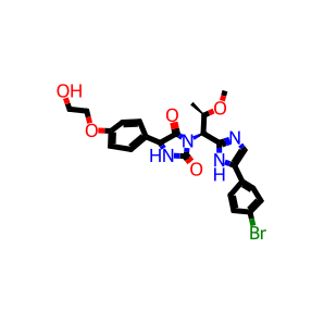 CO[C@H](C)[C@@H](c1ncc(-c2ccc(Br)cc2)[nH]1)N1C(=O)NC(c2ccc(OCCO)cc2)C1=O